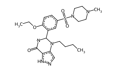 CCCCN1c2cn[nH]c2C(=O)[N]C1c1cc(S(=O)(=O)N2CCN(C)CC2)ccc1OCC